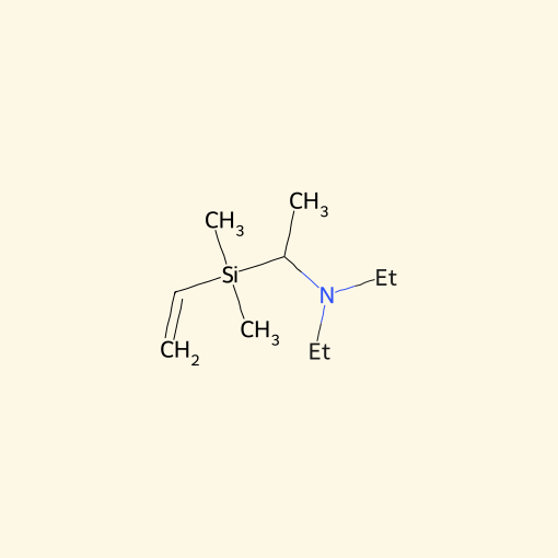 C=C[Si](C)(C)C(C)N(CC)CC